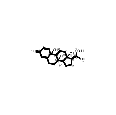 C[C@]12C=CC(=O)C=C1CC[C@@H]1C2=CC[C@]2(C)C(=C(C#N)C(=O)O)CC[C@@H]12